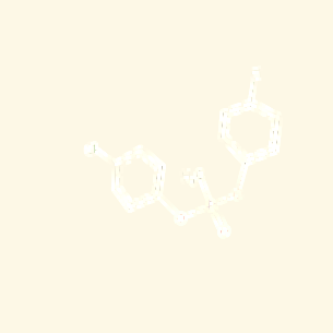 CP(=O)(Oc1ccc(Cl)cc1)Oc1ccc(Cl)cc1